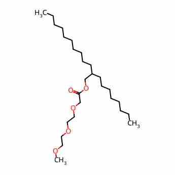 CCCCCCCCCCC(CCCCCCCC)COC(=O)COCCOCCOC